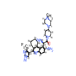 CN1CCN(C2CCN(C(=O)C(=N)c3c(N)ccc4nc(-c5c[nH]nc5C(F)(F)F)c5c(c34)CCCC5)CC2)CC1